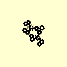 c1ccc2c(-c3nc(-c4ccc(C5(c6ccc(-c7nc(-c8cccc9ccccc89)nc(-c8cccc9ccccc89)n7)cc6)CCCCC5)cc4)nc(-c4cccc5ccccc45)n3)cccc2c1